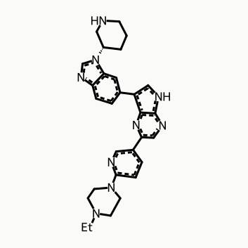 CCN1CCN(c2ccc(-c3cnc4[nH]cc(-c5ccc6ncn([C@H]7CCCNC7)c6c5)c4n3)cn2)CC1